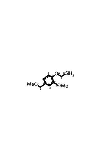 COCc1ccc(OC[SiH3])c(OC)c1